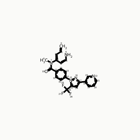 C=C/C=C(\C=C/N)N(C)C(=O)c1ccc(-n2nc(-c3cccnc3)cc2C(F)(F)F)cc1